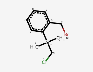 C[Si](C)(CCl)c1ccccc1CBr